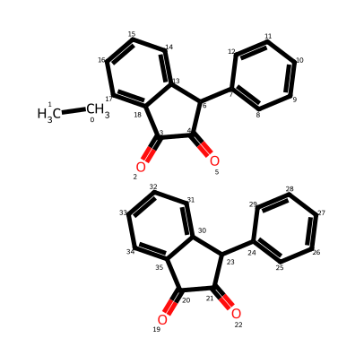 CC.O=C1C(=O)C(c2ccccc2)c2ccccc21.O=C1C(=O)C(c2ccccc2)c2ccccc21